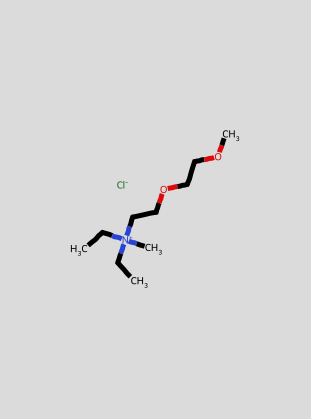 CC[N+](C)(CC)CCOCCOC.[Cl-]